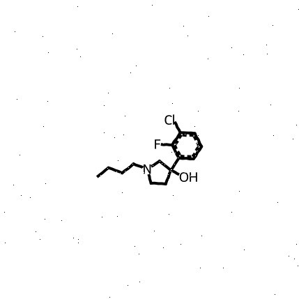 CCCCN1CCC(O)(c2cccc(Cl)c2F)C1